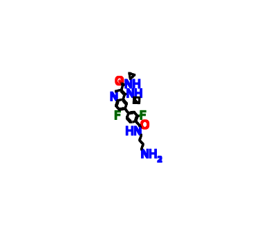 NCCCCNC(=O)c1ccc(-c2cc3c(NC45CC(C4)C5)c(C(=O)NC4CC4)cnc3cc2F)cc1F